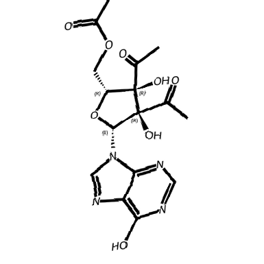 CC(=O)OC[C@H]1O[C@@H](n2cnc3c(O)ncnc32)[C@@](O)(C(C)=O)[C@@]1(O)C(C)=O